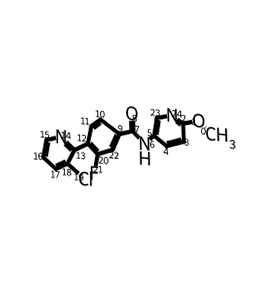 COc1ccc(NC(=O)c2ccc(-c3ncccc3Cl)c(F)c2)cn1